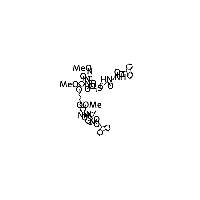 C=C1C[C@@H](/C=N/OC)N(C(=O)c2cc(OC)c(OCCCCCOc3cc(N)c(C(=O)N4CC(=C)C[C@H]4C4OCCN4C(=O)OCC4c5ccccc5-c5ccccc54)cc3OC)cc2NC(=O)OCC(C)(C)SSCCC(=O)NCCNC(=O)OCC2c3ccccc3-c3ccccc32)C1